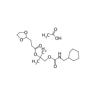 CC(=O)O.CC(C)(COC(=O)NCC1CCCCC1)OC(=O)CCC1OCCO1